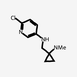 CNC1(CNc2ccc(Cl)nc2)CC1